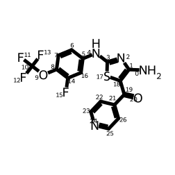 Nc1nc(Nc2ccc(OC(F)(F)F)c(F)c2)sc1C(=O)c1ccncc1